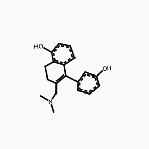 CN(C)CC1=C(c2cccc(O)c2)c2cccc(O)c2CC1